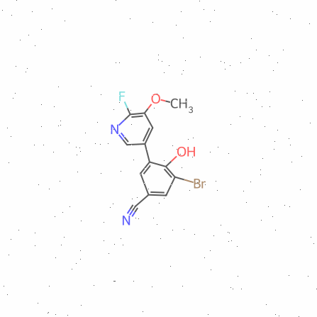 COc1cc(-c2cc(C#N)cc(Br)c2O)cnc1F